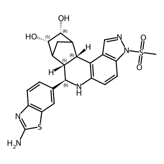 CS(=O)(=O)n1ncc2c3c(ccc21)N[C@@H](c1ccc2nc(N)sc2c1)[C@@H]1C2CC([C@@H](O)[C@H]2O)[C@H]31